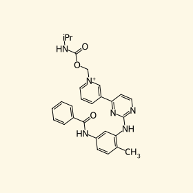 Cc1ccc(NC(=O)c2ccccc2)cc1Nc1nccc(-c2ccc[n+](COC(=O)NC(C)C)c2)n1